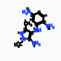 Cc1nn(C)c(N)c1Nc1cc(N)ccc1N